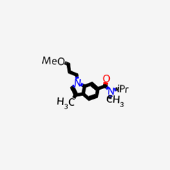 COCCCN1C=C(C)C2C=CC(C(=O)N(C)C(C)C)=CC21